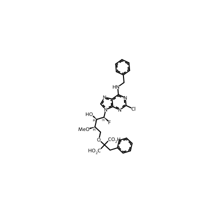 CO[C@H](COC(Cc1ccccc1)(C(=O)O)C(=O)O)[C@@H](O)[C@H](F)n1cnc2c(NCc3ccccc3)nc(Cl)nc21